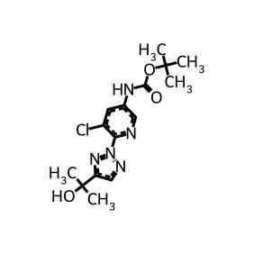 CC(C)(C)OC(=O)Nc1cnc(-n2ncc(C(C)(C)O)n2)c(Cl)c1